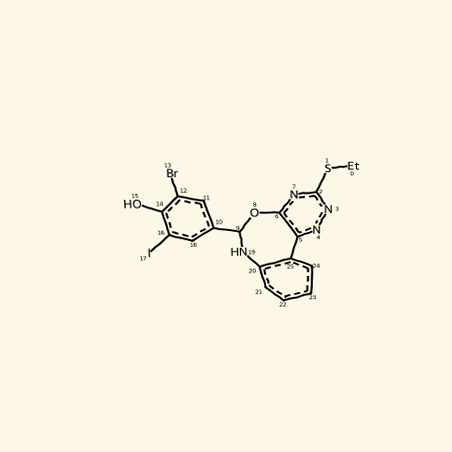 CCSc1nnc2c(n1)OC(c1cc(Br)c(O)c(I)c1)Nc1ccccc1-2